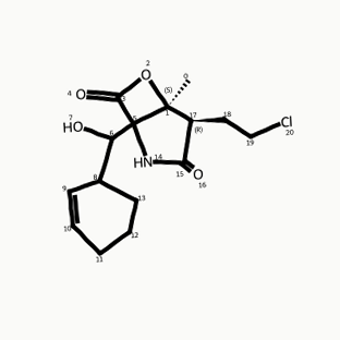 C[C@@]12OC(=O)C1(C(O)C1C=CCCC1)NC(=O)[C@@H]2CCCl